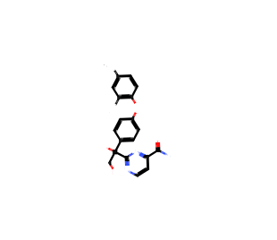 N#Cc1ccc(Oc2ccc(C(O)(CO)c3nccc(C(N)=O)n3)cc2)c(C(F)(F)F)c1